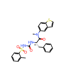 Cc1ccccc1S(=O)(=O)NC(=O)N[C@@H](Cc1ccccc1)C(=O)N(C)c1ccc2sccc2c1